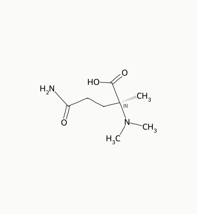 CN(C)[C@@](C)(CCC(N)=O)C(=O)O